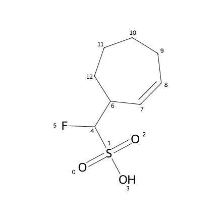 O=S(=O)(O)C(F)C1C=CCCCC1